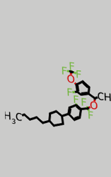 CCCCCC1CCC(c2ccc(C(F)(F)OC(C)c3ccc(OC(F)(F)F)c(F)c3)c(F)c2)CC1